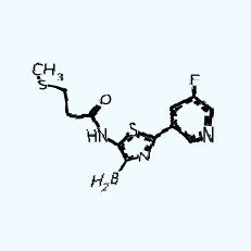 Bc1nc(-c2cncc(F)c2)sc1NC(=O)CCSC